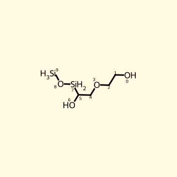 OCCOCC(O)[SiH2]O[SiH3]